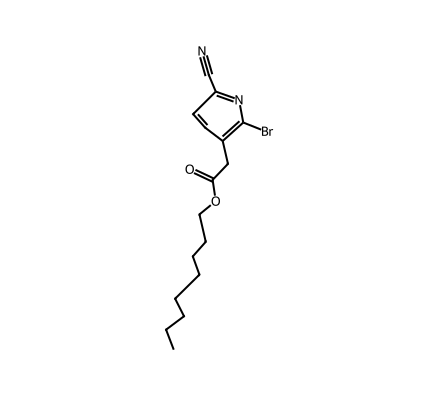 CCCCCCCCOC(=O)Cc1ccc(C#N)nc1Br